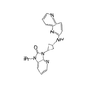 CC(C)n1c(=O)n(C2CC(Nc3ccc4ncccc4n3)C2)c2ncccc21